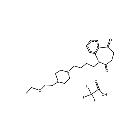 CCOCCN1CCN(CCCCN2C(=O)CCC(=O)c3ccccc32)CC1.O=C(O)C(F)(F)F